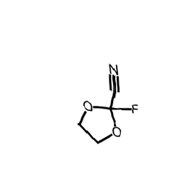 N#CC1(F)OCCO1